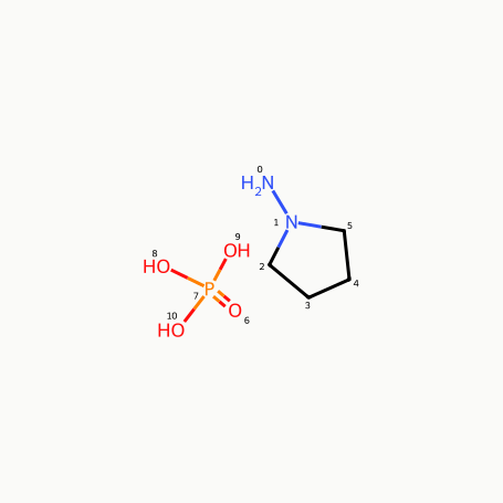 NN1CCCC1.O=P(O)(O)O